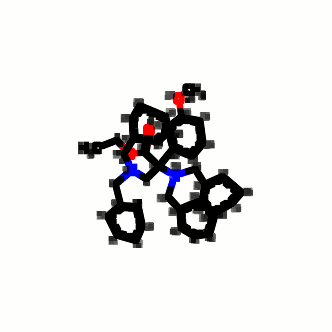 CCOC(=O)C(CN(Cc1ccccc1)Cc1ccccc1)(c1cccc(OC)c1)N(Cc1ccccc1)Cc1ccccc1